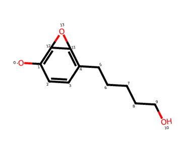 [O]c1ccc(CCCCCO)c2c1O2